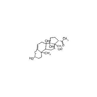 CC(=O)C1CCC2(O)C3(O)CC=C4CC(O)CCC4(C)C3CC(O)C12C